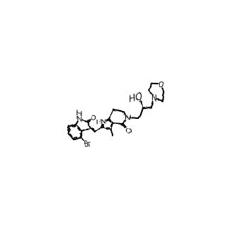 Cc1c(/C=C2\C(=O)Nc3cccc(Br)c32)[nH]c2c1C(=O)N(C[C@@H](O)CN1CCOCC1)CC2